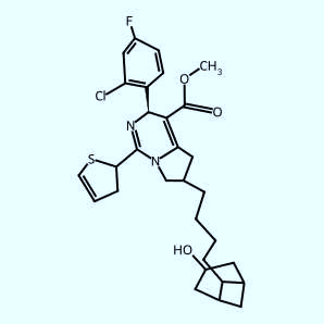 COC(=O)C1=C2CC(CCCCC3C4CC(O)CC3C4)CN2C(C2CC=CS2)=N[C@H]1c1ccc(F)cc1Cl